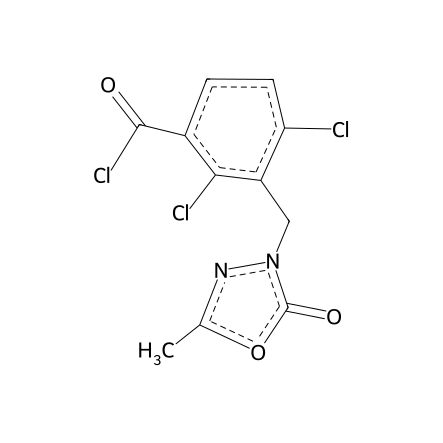 Cc1nn(Cc2c(Cl)ccc(C(=O)Cl)c2Cl)c(=O)o1